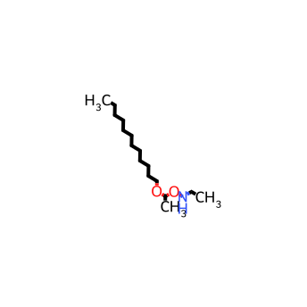 CCCCCCCCCCCCOC(C)ONCC